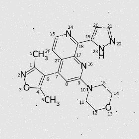 Cc1noc(C)c1-c1cc(N2CCOCC2)nc2c(-c3ccn[nH]3)nccc12